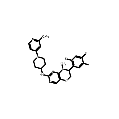 COc1cc(N2CCC(Nc3ncc4c(n3)N(C)C(c3cc(F)c(F)cc3F)CO4)CC2)ccn1